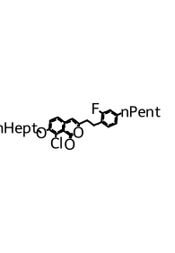 CCCCCCCOc1ccc2cc(CCc3ccc(CCCCC)cc3F)oc(=O)c2c1Cl